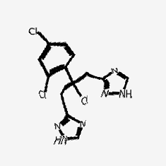 Clc1ccc(C(Cl)(Cc2nc[nH]n2)Cc2nc[nH]n2)c(Cl)c1